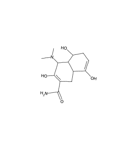 CN(C)C1C(O)=C(C(N)=O)CC2C(O)=CCC(O)C21